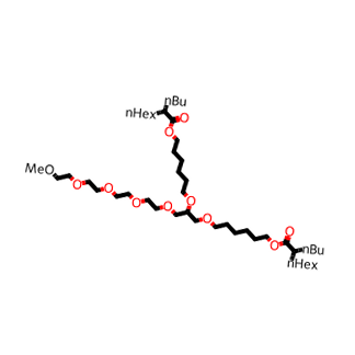 CCCCCCC(CCCC)C(=O)OCCCCCCOCC(COCCOCCOCCOCCOC)OCCCCCCOC(=O)C(CCCC)CCCCCC